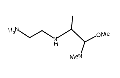 CNC(OC)C(C)NCCN